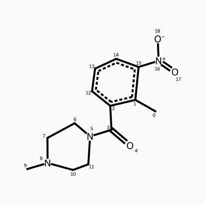 Cc1c(C(=O)N2CCN(C)CC2)cccc1[N+](=O)[O-]